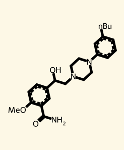 CCCCc1cccc(N2CCN(CC(O)c3ccc(OC)c(C(N)=O)c3)CC2)c1